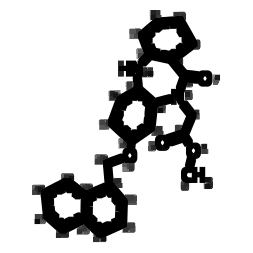 COC(=O)CN1C(=O)c2ccccc2Nc2ccc(OCc3cccc4ccccc34)cc21